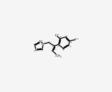 C/C=C(/Cn1cncn1)c1ccc(F)cc1F